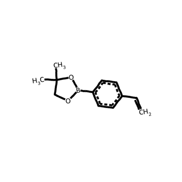 C=Cc1ccc(B2OCC(C)(C)O2)cc1